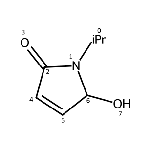 CC(C)N1C(=O)C=CC1O